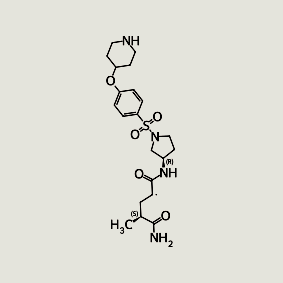 C[C@@H](C[CH]C(=O)N[C@@H]1CCN(S(=O)(=O)c2ccc(OC3CCNCC3)cc2)C1)C(N)=O